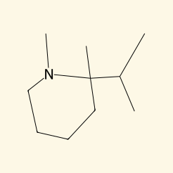 CC(C)C1(C)CCCCN1C